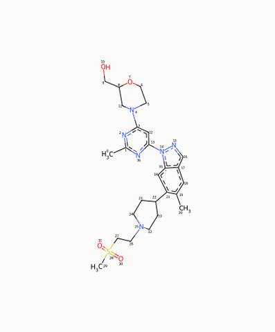 Cc1nc(N2CCOC(CO)C2)cc(-n2ncc3cc(C)c(C4CCN(CCS(C)(=O)=O)CC4)cc32)n1